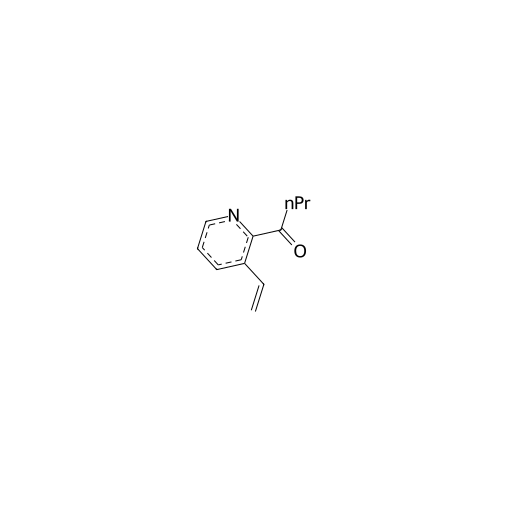 C=Cc1cccnc1C(=O)CCC